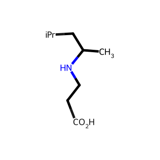 CC(C)CC(C)NCCC(=O)O